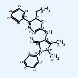 CCC1SC(Nc2c(C)n(C)n(-c3ccccc3)c2=O)=NN=C1c1ccccc1